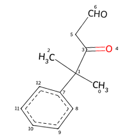 CC(C)(C(=O)CC=O)c1ccccc1